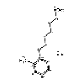 CCCCCCCCCCCCCC[n+]1ccccc1C.[Cl-]